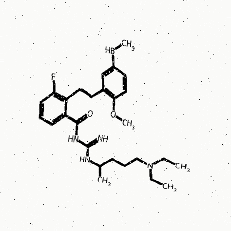 CBc1ccc(OC)c(CCc2c(F)cccc2C(=O)NC(=N)NC(C)CCCN(CC)CC)c1